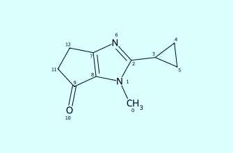 Cn1c(C2CC2)nc2c1C(=O)CC2